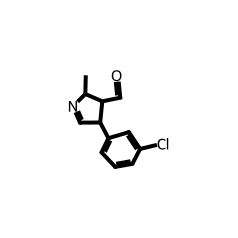 CC1N=CC(c2cccc(Cl)c2)C1C=O